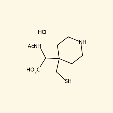 CC(=O)NC(C(=O)O)C1(CS)CCNCC1.Cl